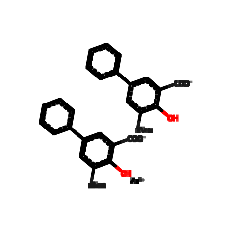 CCCCCCCCCc1cc(-c2ccccc2)cc(C(=O)[O-])c1O.CCCCCCCCCc1cc(-c2ccccc2)cc(C(=O)[O-])c1O.[Zn+2]